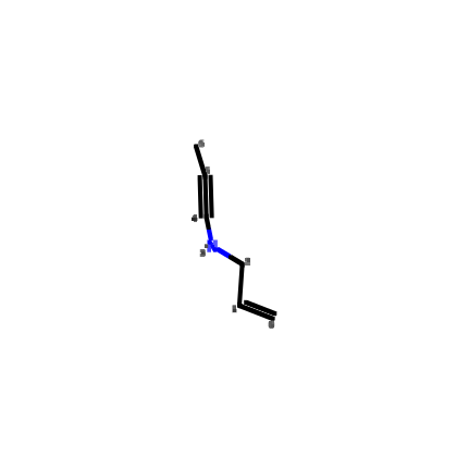 C=CC[N]C#CC